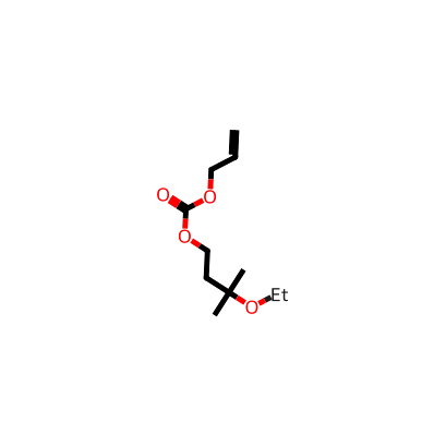 C=CCOC(=O)OCCC(C)(C)OCC